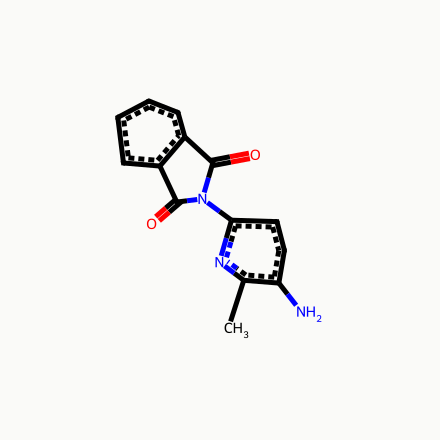 Cc1nc(N2C(=O)c3ccccc3C2=O)ccc1N